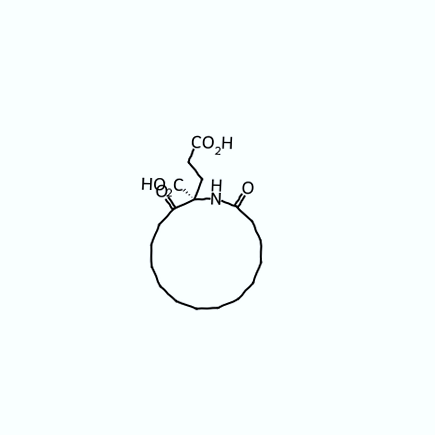 O=C(O)CC[C@@]1(C(=O)O)NC(=O)CCCCCCCCCCCCC1=O